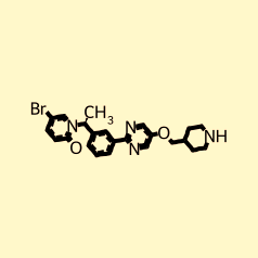 C[C@H](c1cccc(-c2ncc(OCC3CCNCC3)cn2)c1)n1cc(Br)ccc1=O